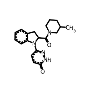 CC1CCCN(C(=O)C2Cc3ccccc3N2c2ccc(=O)[nH]n2)C1